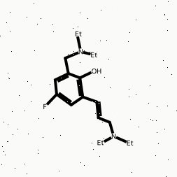 CCN(CC)CC=Cc1cc(F)cc(CN(CC)CC)c1O